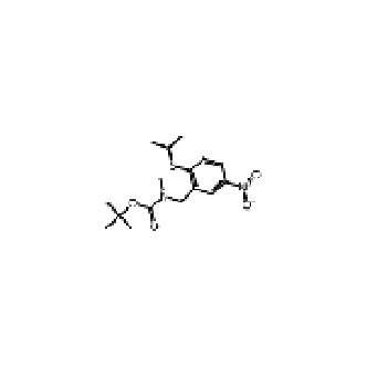 CC(C)Sc1ccc([N+](=O)[O-])cc1CN(C)C(=O)OC(C)(C)C